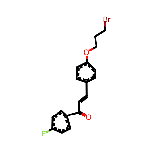 O=C(C=Cc1ccc(OCCCBr)cc1)c1ccc(F)cc1